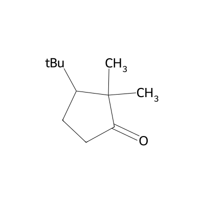 CC(C)(C)C1CCC(=O)C1(C)C